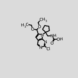 CCOC(OCC)c1cc2cnc(Cl)nc2n1C1(CNC(=O)O)CCCC1